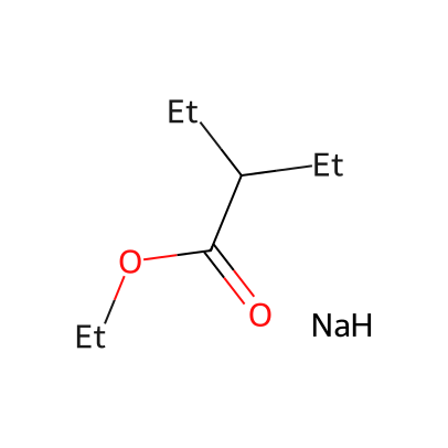 CCOC(=O)C(CC)CC.[NaH]